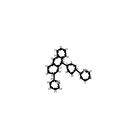 c1ccc(-c2ccc(-c3c4ccccc4cc4ccc(-c5ccccn5)cc34)cc2)nc1